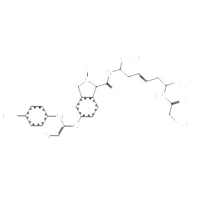 CC(=O)N1Cc2cc(NC(=C[N+](=O)[O-])Nc3ccc(C)cc3)ccc2C1C(=O)NC(CC=CCC(NC(=O)CC(C)(C)C)C(=O)O)C(=O)O